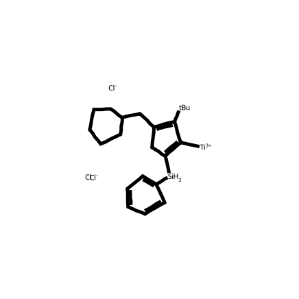 CC(C)(C)C1=C(CC2CCCCC2)CC([SiH2]c2ccccc2)=[C]1[Ti+3].[Cl-].[Cl-].[Cl-]